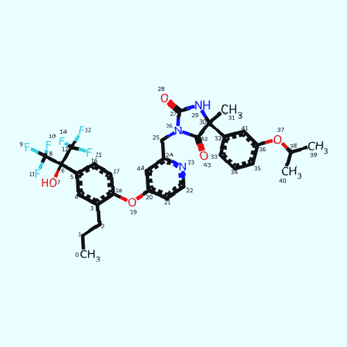 CCCc1cc(C(O)(C(F)(F)F)C(F)(F)F)ccc1Oc1ccnc(CN2C(=O)NC(C)(c3cccc(OC(C)C)c3)C2=O)c1